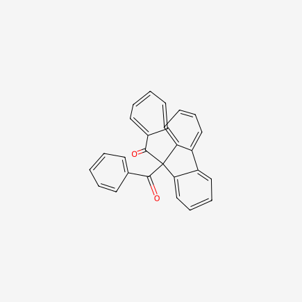 O=C(c1ccccc1)C1(C(=O)c2ccccc2)c2ccccc2-c2ccccc21